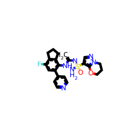 C=C(N=S(N)(=O)c1cnn2c1OCCC2)Nc1c(-c2ccncc2)cc(F)c2c1CCC2